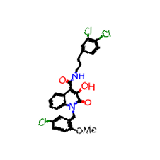 COc1ccc(Cl)cc1Cn1c(=O)c(O)c(C(=O)NCCCc2ccc(Cl)c(Cl)c2)c2ccccc21